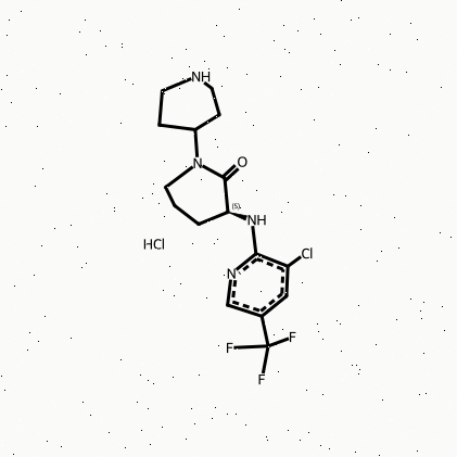 Cl.O=C1[C@@H](Nc2ncc(C(F)(F)F)cc2Cl)CCCN1C1CCNCC1